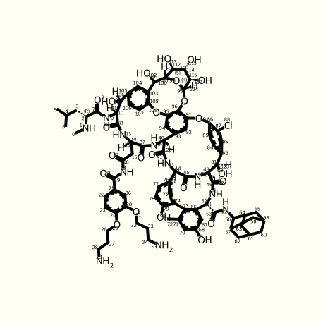 CN[C@H](CC(C)C)C(=O)N[C@H]1C(=O)N[C@@H](CC(=O)NC(=O)c2ccc(OCCCN)c(OCCCN)c2)C(=O)N[C@H]2C(=O)N[C@H]3C(=O)N[C@H](C(=O)N[C@H](C(=O)NC4C5CC6CC(C5)CC4C6)c4cc(O)cc(C)c4-c4cc3ccc4O)[C@H](O)c3ccc(c(Cl)c3)Oc3cc2cc2c3O[C@@H]3O[C@H](C(O)c4cc(ccc4O2)[C@H]1O)[C@@H](O)[C@H](O)[C@H]3O